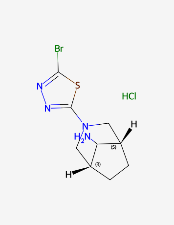 Cl.NC1[C@@H]2CC[C@H]1CN(c1nnc(Br)s1)C2